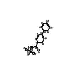 CS(=O)(=O)NC(=O)c1ccc(-c2ccccc2)cc1